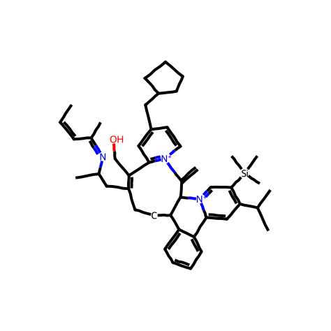 C=C1C2C(CC/C(CC(C)/N=C(C)\C=C/C)=C(/CO)c3cc(CC4CCCC4)cc[n+]31)c1ccccc1-c1cc(C(C)C)c([Si](C)(C)C)c[n+]12